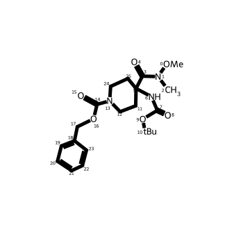 CON(C)C(=O)C1(NC(=O)OC(C)(C)C)CCN(C(=O)OCc2ccccc2)CC1